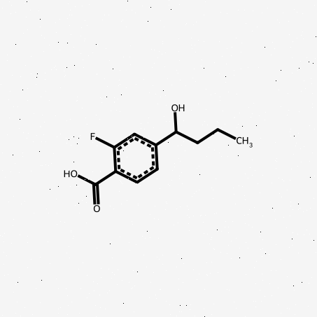 CCCC(O)c1ccc(C(=O)O)c(F)c1